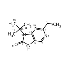 CCc1ncc2[nH]c(=O)n(C(C)(C)C)c2n1